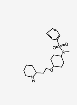 CN(C1CCC(OCCC2CCCCN2)CC1)S(=O)(=O)c1ccccc1